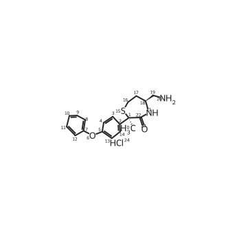 C[C@]1(c2ccc(Oc3ccccc3)cc2)SCC[C@@H](CN)NC1=O.Cl